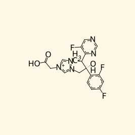 C[C@@H](c1ncncc1F)[C@](O)(Cn1c[n+](CC(=O)O)cn1)c1ccc(F)cc1F